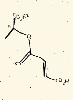 CCOC(=O)[C@H](C)OC(=O)/C=C/C(=O)O